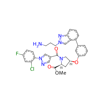 COC(=O)[C@@H]1C[C@H](Oc2cccc(-c3cccc4nn(CCCN)cc34)c2)CN1C(=O)c1cnn(-c2ccc(F)cc2Cl)c1